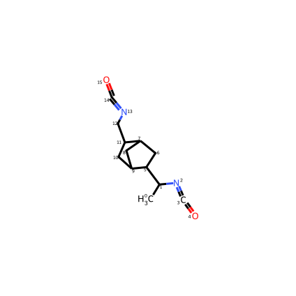 CC(N=C=O)C1CC2CC1CC2CN=C=O